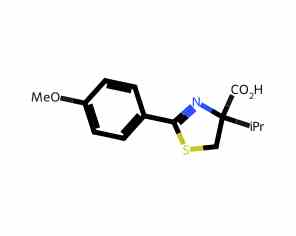 COc1ccc(C2=NC(C(=O)O)(C(C)C)CS2)cc1